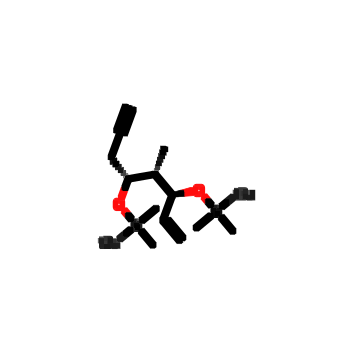 C#CC[C@@H](O[Si](C)(C)C(C)(C)C)[C@H](C)[C@H](C=C)O[Si](C)(C)C(C)(C)C